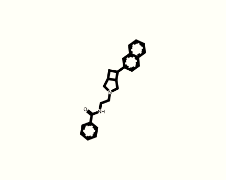 O=C(NCCN1CC2CC(c3ccc4ccccc4c3)C2C1)c1ccccc1